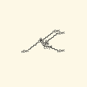 CCCCCCCCCCCCCCCCCCOP(=O)(CN(CCC(=O)O)CP(=O)(OCCCCCCCCCCCCCCCCCC)OCCCCCCCCCCCCCCCCCC)OCCCCCCCCCCCCCCCCCC